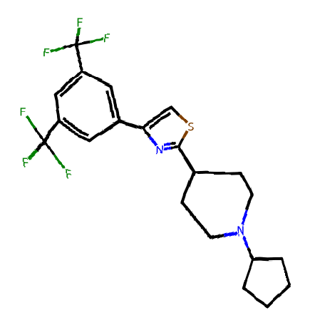 FC(F)(F)c1cc(-c2csc(C3CCN(C4CCCC4)CC3)n2)cc(C(F)(F)F)c1